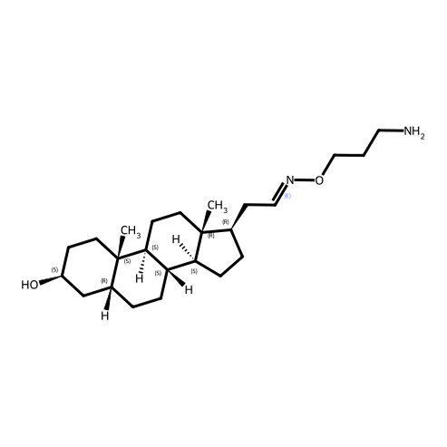 C[C@]12CC[C@H](O)C[C@H]1CC[C@@H]1[C@@H]2CC[C@]2(C)[C@@H](C/C=N/OCCCN)CC[C@@H]12